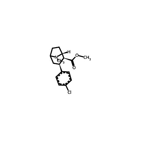 COC(=O)[C@H]1[C@@H](c2ccc(Cl)cc2)CC2CC[C@H]1N2C